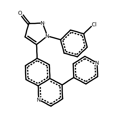 O=C1C=C(c2ccc3nccc(-c4ccncc4)c3c2)N(c2cccc(Cl)c2)[N]1